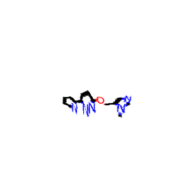 Cn1cncc1COc1ccc(-c2ccccn2)nn1